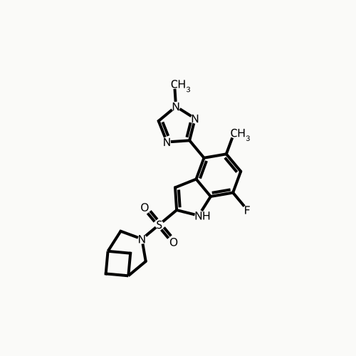 Cc1cc(F)c2[nH]c(S(=O)(=O)N3CC4CC(C4)C3)cc2c1-c1ncn(C)n1